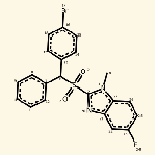 Cn1c(S(=O)(=O)C(c2ccccc2)c2ccc(Br)cc2)nc2cc(F)ccc21